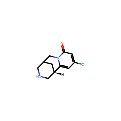 O=c1cc(Cl)cc2n1CC1CNC[C@@H]2C1